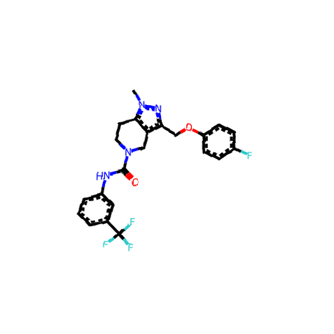 Cn1nc(COc2ccc(F)cc2)c2c1CCN(C(=O)Nc1cccc(C(F)(F)F)c1)C2